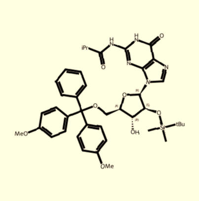 COc1ccc(C(OC[C@H]2O[C@@H](n3cnc4c(=O)[nH]c(NC(=O)C(C)C)nc43)[C@@H](O[Si](C)(C)C(C)(C)C)[C@@H]2O)(c2ccccc2)c2ccc(OC)cc2)cc1